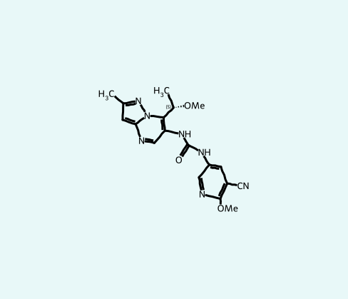 COc1ncc(NC(=O)Nc2cnc3cc(C)nn3c2[C@H](C)OC)cc1C#N